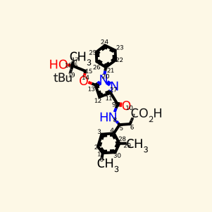 Cc1ccc(C(CC(=O)O)NC(=O)c2cc(OCC(C)(O)C(C)(C)C)n(-c3ccccc3)n2)c(C)c1